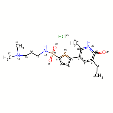 CCc1cc(-c2ccc(S(=O)(=O)NCCCN(C)C)s2)c(C)[nH]c1=O.Cl